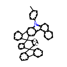 Cc1ccc(-n2c3cc4c(cc3c3c5ccccc5ccc32)C2(c3ccccc3-4)c3ccccc3C3(c4ccccc4-c4ccccc43)c3ccccc32)cc1